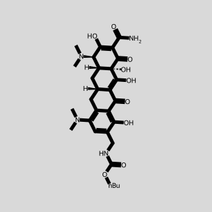 CCCCOC(=O)NCc1cc(N(C)C)c2c(c1O)C(=O)C1=C(O)[C@]3(O)C(=O)C(C(N)=O)=C(O)[C@H](N(C)C)[C@H]3C[C@H]1C2